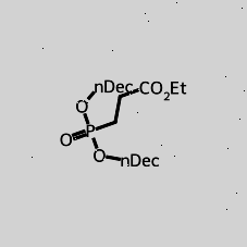 CCCCCCCCCCOP(=O)(CCC(=O)OCC)OCCCCCCCCCC